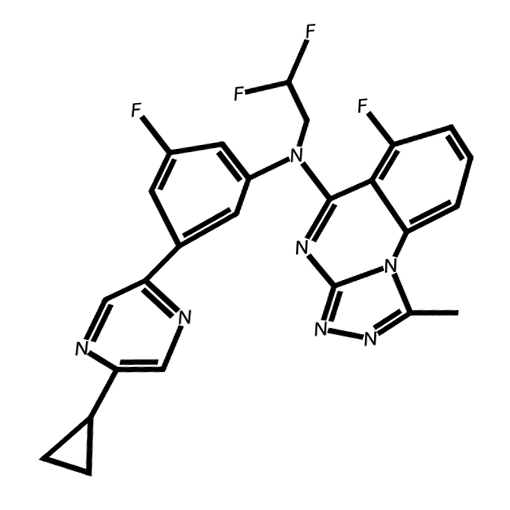 Cc1nnc2nc(N(CC(F)F)c3cc(F)cc(-c4cnc(C5CC5)cn4)c3)c3c(F)cccc3n12